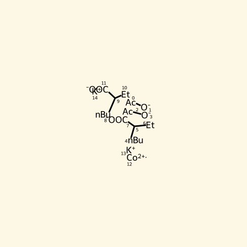 CC(=O)[O-].CC(=O)[O-].CCCCC(CC)C(=O)[O-].CCCCC(CC)C(=O)[O-].[Co+2].[K+].[K+]